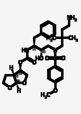 COc1ccc(S(=O)(=O)N(C[C@H](O)[C@H](Cc2ccccc2)NC(=O)O[C@H]2CO[C@H]3OCC[C@H]32)CC(C)(C)CCN)cc1